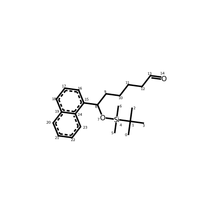 CC(C)(C)[Si](C)(C)OC(CCCCC=O)c1cccc2ccccc12